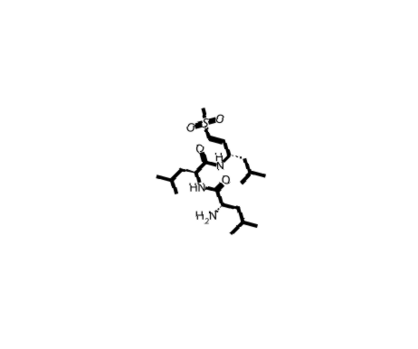 CC(C)C[C@@H](/C=C/S(C)(=O)=O)NC(=O)[C@H](CC(C)C)NC(=O)[C@@H](N)CC(C)C